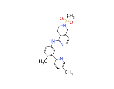 Cc1ccc(-c2cc(Nc3nccc4c3CCN(S(C)(=O)=O)C4)ccc2C)nc1